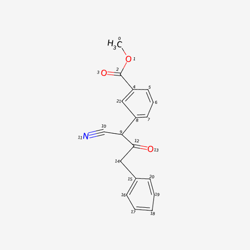 COC(=O)c1cccc(C(C#N)C(=O)Cc2ccccc2)c1